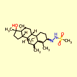 C=C1C[C@@H]2[C@H](CC[C@@]3(C)[C@H]2CC[C@]3(C)O)[C@@]2(C)CC/C(=N\NS(C)(=O)=O)C(C)=C12